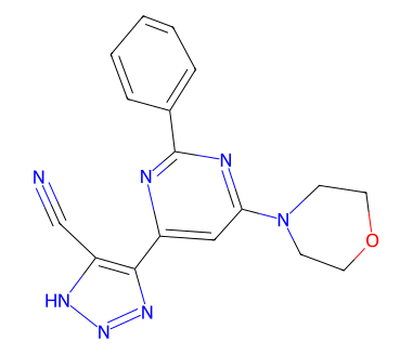 N#Cc1[nH]nnc1-c1cc(N2CCOCC2)nc(-c2ccccc2)n1